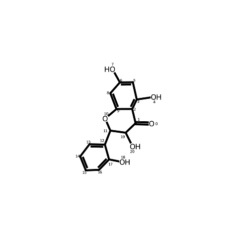 O=C1c2c(O)cc(O)cc2OC(c2ccccc2O)C1O